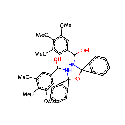 COc1cc(C(O)NC2(OC3(NC(O)c4cc(OC)c(OC)c(OC)c4)c4ccccc43)c3ccccc32)cc(OC)c1OC